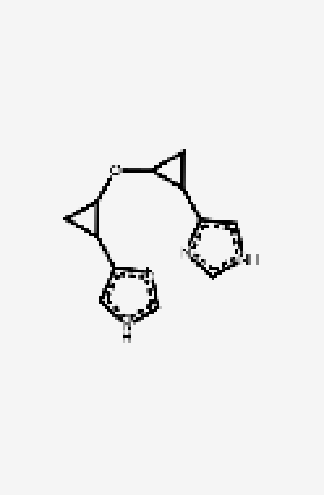 c1nc(C2CC2OC2CC2c2c[nH]cn2)c[nH]1